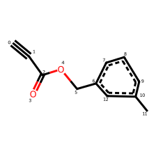 C#CC(=O)OCc1cccc(C)c1